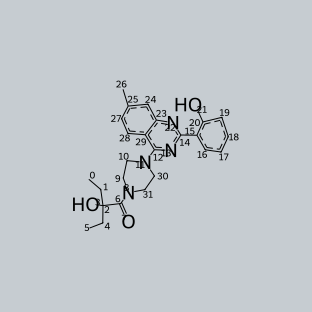 CCC(O)(CC)C(=O)N1CCN(c2nc(-c3ccccc3O)nc3cc(C)ccc23)CC1